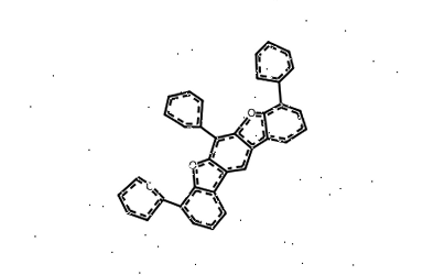 c1ccc(-c2cccc3c2oc2c(-c4ccccc4)c4oc5c(-c6ccccc6)cccc5c4cc23)cc1